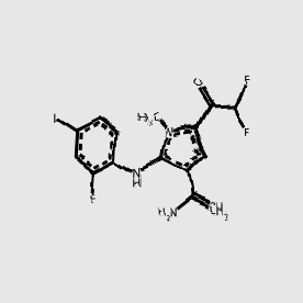 C=C(N)c1cc(C(=O)C(F)F)n(C)c1Nc1ccc(I)cc1F